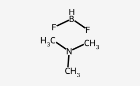 CN(C)C.FBF